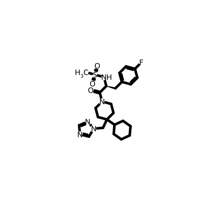 CS(=O)(=O)N[C@@H](Cc1ccc(F)cc1)C(=O)N1CCC(Cn2cncn2)(C2CCCCC2)CC1